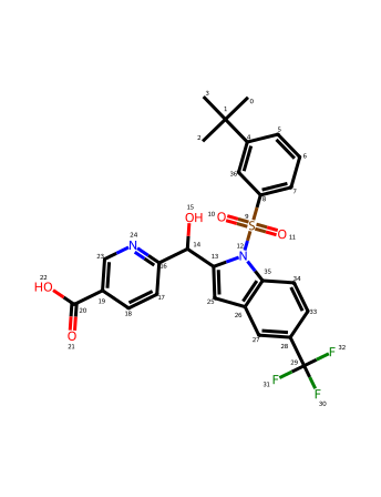 CC(C)(C)c1cccc(S(=O)(=O)n2c(C(O)c3ccc(C(=O)O)cn3)cc3cc(C(F)(F)F)ccc32)c1